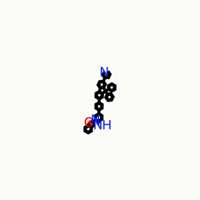 C1=CC2Nc3c(oc4ccccc34)N2C=C1c1ccc(-c2ccc3c(c2)C(c2ccccc2)(c2ccccc2)c2cc(-c4cccnc4)ccc2-3)cc1